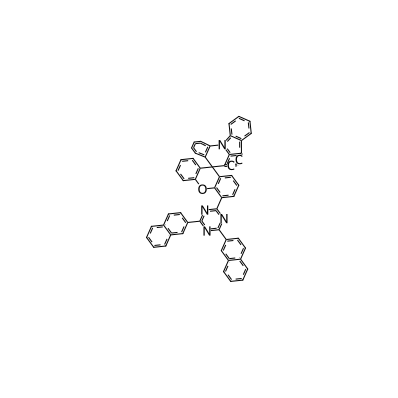 c1ccc2c(c1)Oc1c(-c3nc(-c4ccc5ccccc5c4)nc(-c4ccc5ccccc5c4)n3)cccc1C21c2ccccc2-n2c3ccccc3c3cccc1c32